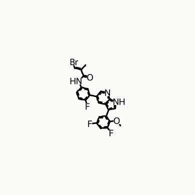 COc1c(F)cc(F)cc1-c1c[nH]c2ncc(-c3cc(NC(=O)C(C)=CBr)ccc3F)cc12